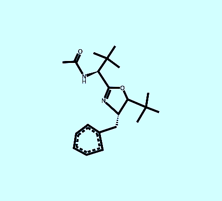 CC(=O)N[C@H](C1=N[C@@H](Cc2ccccc2)C(C(C)(C)C)O1)C(C)(C)C